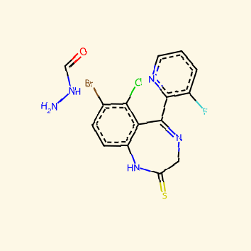 Fc1cccnc1C1=NCC(=S)Nc2ccc(Br)c(Cl)c21.NNC=O